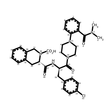 CN(C)C(=O)c1ccccc1N1CCN(C(=O)[C@@H](Cc2ccc(Cl)cc2)NC(=O)[C@@H]2Cc3ccccc3CN2C(=O)O)CC1